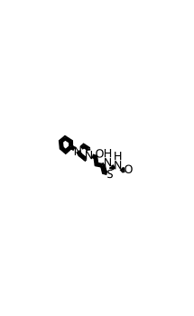 O=CNC1NC(CC(=O)N2CCN(C3CCCCC3)CC2)=CS1